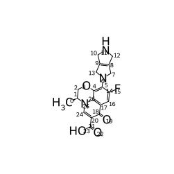 C[C@H]1COc2c(N3CC4=C(CNC4)C3)c(F)cc3c(=O)c(C(=O)O)cn1c23